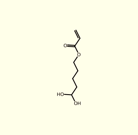 C=CC(=O)OCCCCC(O)O